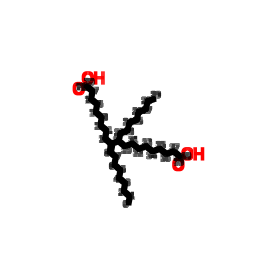 CCCCCCCC/C=C(/CCCCCCCCC(=O)O)C(CCCCCCCC)CCCCCCCCC(=O)O